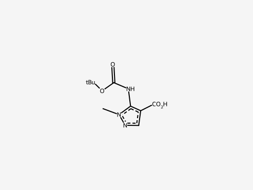 Cn1ncc(C(=O)O)c1NC(=O)OC(C)(C)C